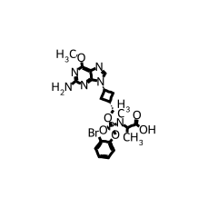 COc1nc(N)nc2c1ncn2[C@H]1C[C@@H](COP(=O)(Oc2ccccc2Br)N(C)C(C)C(=O)O)C1